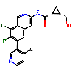 Cc1ccncc1-c1cc2cc(NC(=O)[C@@H]3C[C@@H]3CO)ncc2c(Cl)c1F